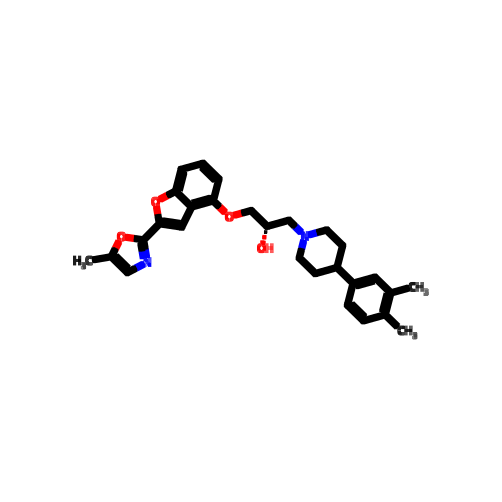 Cc1cnc(-c2cc3c(OC[C@@H](O)CN4CCC(c5ccc(C)c(C)c5)CC4)cccc3o2)o1